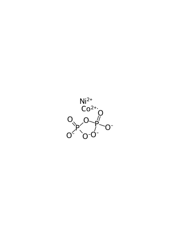 O=P([O-])([O-])OP(=O)([O-])[O-].[Co+2].[Ni+2]